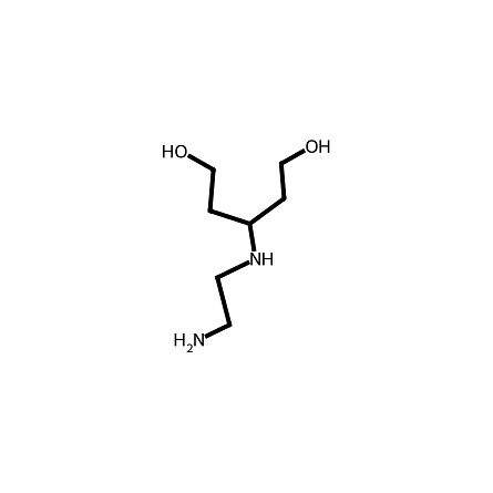 NCCNC(CCO)CCO